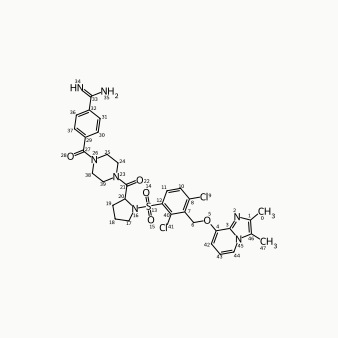 Cc1nc2c(OCc3c(Cl)ccc(S(=O)(=O)N4CCCC4C(=O)N4CCN(C(=O)c5ccc(C(=N)N)cc5)CC4)c3Cl)cccn2c1C